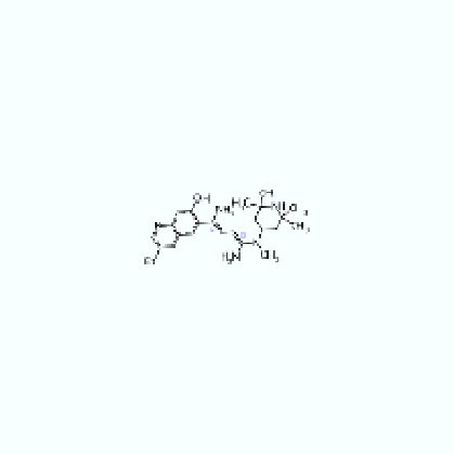 CCc1cnc2cc(O)c(/C(N)=C/C=C(\N)N(C)C3CC(C)(C)NC(C)(C)C3)cc2c1